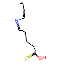 C/C=C\N=C/CCCC(O)=S